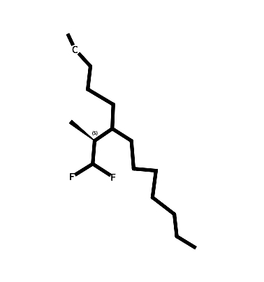 CCCCCCCC(CCCCC)[C@H](C)C(F)F